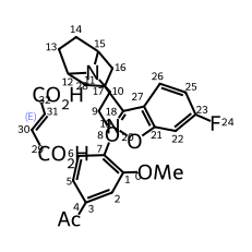 COc1cc(C(C)=O)ccc1OCCN1C2CCC1CC(c1noc3cc(F)ccc13)C2.O=C(O)/C=C/C(=O)O